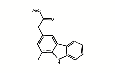 COC(=O)Cc1cc(C)c2[nH]c3ccccc3c2c1